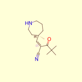 CC(C)(C)C(=O)/C(C#N)=C\[C@]1(C)CCCNCC1